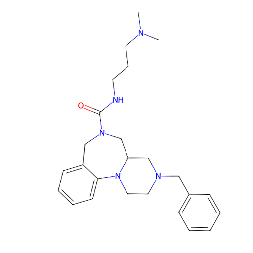 CN(C)CCCNC(=O)N1Cc2ccccc2N2CCN(Cc3ccccc3)CC2C1